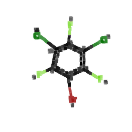 Fc1c(Cl)c(F)c(Br)c(F)c1Cl